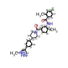 CN/C=C(\C=N)c1ccc(C2CCN(C(=O)c3ccc(C)c(NC(=O)c4ccc(F)cc4C)c3)CC2)cc1